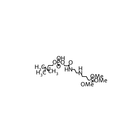 CO[Si](CCCNCCNC(=O)COP(=O)(O)OCC[N+](C)(C)C)(OC)OC